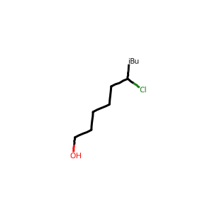 CCC(C)C(Cl)CCCCCO